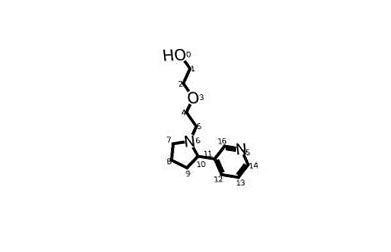 OCCOCCN1CCCC1c1cccnc1